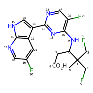 CC(CF)(CF)C(CC(=O)O)Nc1nc(-c2c[nH]c3ncc(F)cc23)ncc1F